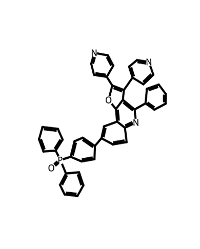 O=P(c1ccccc1)(c1ccccc1)c1ccc(-c2ccc3nc(-c4ccccc4)c4c(-c5ccncc5)c(-c5ccncc5)oc4c3c2)cc1